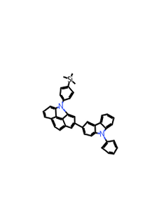 C[Si](C)(C)c1ccc(-n2c3cccc4ccc5cc(-c6ccc7c(c6)c6ccccc6n7-c6ccccc6)cc2c5c43)cc1